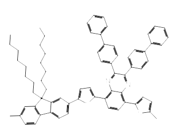 CCCCCCCCC1(CCCCCCCC)c2cc(C)ccc2-c2ccc(-c3ccc(-c4ccc(-c5ccc(C)s5)c5nc(-c6ccc(-c7ccccc7)cc6)c(-c6ccc(-c7ccccc7)cc6)nc45)s3)cc21